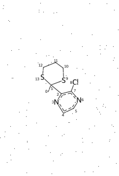 CC1(c2nccnc2Cl)SCCCS1